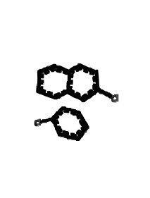 Clc1ccc2ccccc2c1.Clc1ccccc1